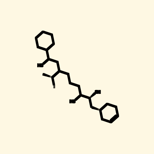 C[C@@H](I)C(CCCC(O)[C@H](O)C[C@H]1CC=CCC1)CC(O)C1CCCCC1